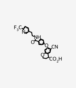 N#Cc1cc2c(cc1Oc1ccc(C(=O)NCCc3ccc(C(F)(F)F)nc3)cc1)OCCC2C(=O)O